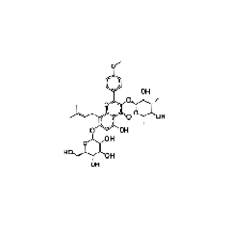 COc1ccc(-c2oc3c(CC=C(C)C)c(O[C@@H]4O[C@H](CO)[C@@H](O)[C@H](O)[C@H]4O)cc(O)c3c(=O)c2O[C@@H]2O[C@@H](C)[C@H](O)[C@@H](C)[C@H]2O)cc1